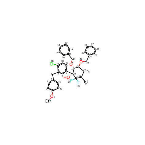 CCOc1ccc(Cc2cc([C@@]3(O)[C@H](OCc4ccccc4)[C@@H](OCc4ccccc4)[C@H](C)[C@@H](CC)C3(F)F)ccc2Cl)cc1